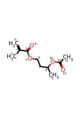 C=C(C)C(=O)OCCC(C)OC(C)=O